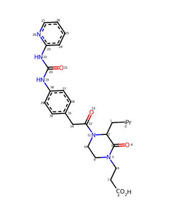 CC(C)CC1C(=O)N(CCC(=O)O)CCN1C(=O)Cc1ccc(NC(=O)Nc2ccccn2)cc1